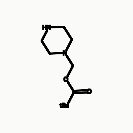 CC(C)(C)C(=O)OCN1CCNCC1